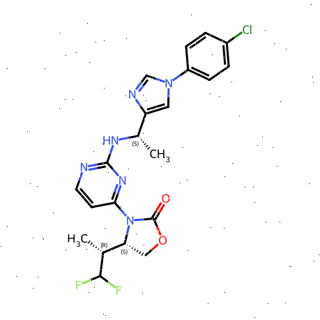 C[C@H](Nc1nccc(N2C(=O)OC[C@@H]2[C@@H](C)C(F)F)n1)c1cn(-c2ccc(Cl)cc2)cn1